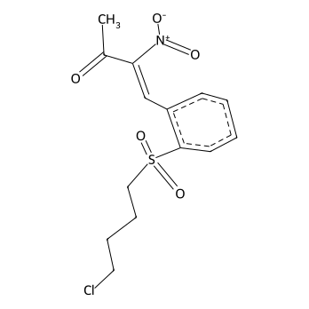 CC(=O)/C(=C/c1ccccc1S(=O)(=O)CCCCCl)[N+](=O)[O-]